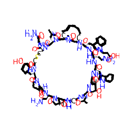 CC(C)C[C@@H]1NC(=O)C2CC/C=C/CCCCC(NC(=O)[C@H](Cc3cn(CCC(=O)O)c4ccccc34)NC(=O)[C@H](CCN)NC(=O)[C@H](Cc3c[nH]c4ccccc34)NC(=O)[C@@H]3C[C@@H](O)CN3C(=O)[C@H](CC(C)C)NC(=O)CNC(=O)[C@H]3CCCN3C(=O)[C@@H](CC(N)=O)NC(=O)[C@@H]3CCCN3C(=O)[C@H](Cc3ccc(O)cc3)NC(=O)CSC[C@@H](C(=O)NCC(N)=O)N(C)C1=O)C(=O)N2C